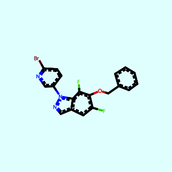 Fc1cc2cnn(-c3ccc(Br)nc3)c2c(F)c1OCc1ccccc1